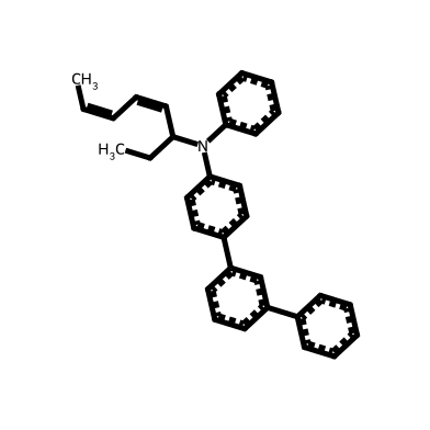 C/C=C\C=C/C(CC)N(c1ccccc1)c1ccc(-c2cccc(-c3ccccc3)c2)cc1